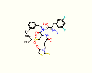 CCCC(CCC)S(=O)(=O)CC(NC(=O)CCN1C(=O)CSC1=S)C(=O)N(Cc1cccc(CC)c1)C[C@@H](O)[C@@H](N)Cc1cc(F)cc(F)c1